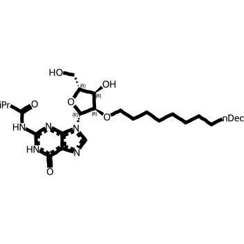 CCCCCCCCCCCCCCCCCCO[C@@H]1[C@H](O)[C@@H](CO)O[C@H]1n1cnc2c(=O)[nH]c(NC(=O)C(C)C)nc21